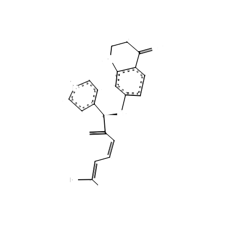 C=C(/C=C\C=C(/C)O)[C@H](Oc1ccc2c(c1)OCCC2=O)c1ccncc1